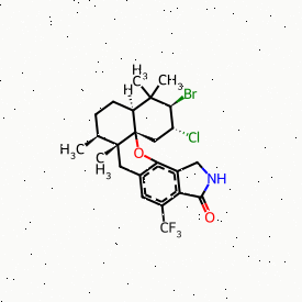 C[C@H]1CC[C@H]2C(C)(C)[C@@H](Br)[C@H](Cl)C[C@]23Oc2c(cc(C(F)(F)F)c4c2CNC4=O)C[C@]13C